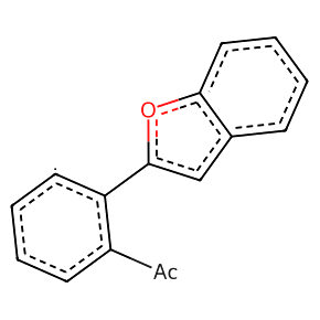 CC(=O)c1ccc[c]c1-c1cc2ccccc2o1